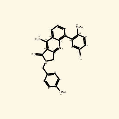 COc1ccc(CN2Cc3nc4c(-c5cc(F)ccc5OC)cccc4c(N)c3C2=O)cc1